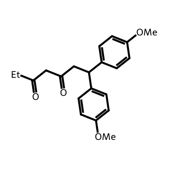 CCC(=O)CC(=O)CC(c1ccc(OC)cc1)c1ccc(OC)cc1